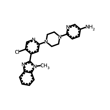 Cn1c(-c2cc(N3CCN(c4ccc(N)cn4)CC3)ncc2Cl)nc2ccccc21